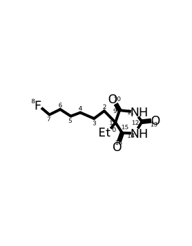 CCC1(CCCCCCF)C(=O)NC(=O)NC1=O